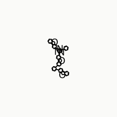 c1ccc(-c2nc(-c3ccc4c(c3)oc3ccccc34)nc(-c3ccc4c(c3)oc3ccc(-c5ccccc5-c5ccc6c(c5)oc5ccccc56)cc34)n2)cc1